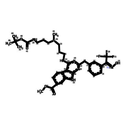 COC(=O)c1ccc2c(c1)[nH]c1nc(Cc3cccc(/C(=N/O)C(F)(F)F)c3)nc(NCCCN(C)CCCNC(=O)OC(C)(C)C)c12